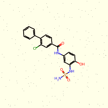 NS(=O)(=O)Nc1cc(NC(=O)c2ccc(-c3ccccc3)c(Cl)c2)ccc1O